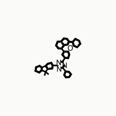 CC1(C)c2ccccc2-c2ccc(-c3nc(-c4ccccc4)nc(-c4cccc(-c5cccc6ccc7c8ccccc8oc7c56)c4)n3)cc21